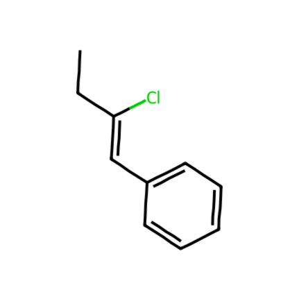 CCC(Cl)=Cc1ccccc1